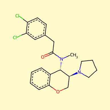 CN(C(=O)Cc1ccc(Cl)c(Cl)c1)[C@H]1c2ccccc2OC[C@@H]1N1CCCC1